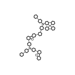 c1ccc(-c2ccc(N(c3ccc(-c4cccc5c4oc4ccccc45)cc3)c3ccc(-c4cccc5c4oc4cc(-c6cccc(-c7ccc(N(c8ccc(-c9ccccc9)cc8)c8ccc9c(c8)C8(c%10ccccc%10-c%10ccccc%108)c8ccccc8-9)cc7)c6)ccc45)cc3)cc2)cc1